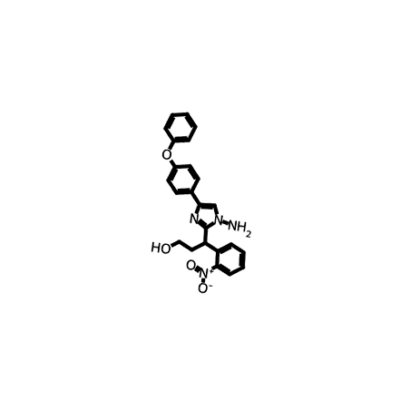 Nn1cc(-c2ccc(Oc3ccccc3)cc2)nc1C(CCO)c1ccccc1[N+](=O)[O-]